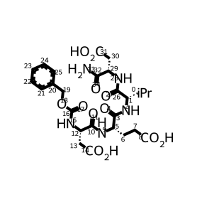 CC(C)[C@H](NC(=O)[C@H](CCC(=O)O)NC(=O)[C@H](CC(=O)O)NC(=O)OCc1ccccc1)C(=O)N[C@@H](CC(=O)O)C(N)=O